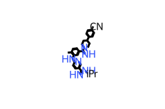 Cc1ccc(C(=N)N2CCC(c3ccc(C#N)cc3)CC2)cc1Nc1ccc(C(=N)NC(C)C)cn1